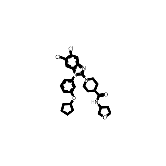 O=C(NC1CCOC1)C1CCN(c2nc3cc(Cl)c(Cl)cc3n2-c2cccc(OC3CCCC3)c2)CC1